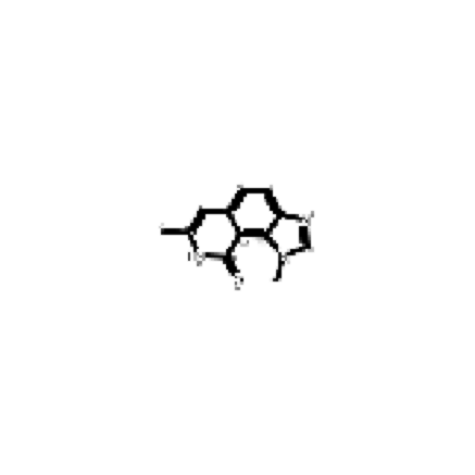 Cc1[c]c2ccc3n[c]n(C)c3c2c(=O)[nH]1